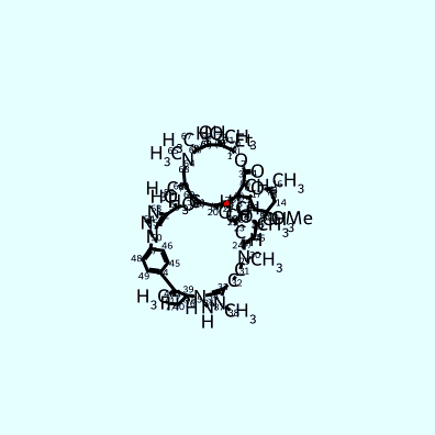 CC[C@H]1OC(=O)[C@H](C)[C@](C)(C2C[C@@](C)(OC)C[C@H](C)O2)[C@H](C)[C@H]2O[C@H]3C[C@H](C[C@@H](C)O3)N(C)CCC3=CN(NN3C)[C@H](CF)[C@H](C)c3ccc(cc3)-n3cc(nn3)C(O)O[C@]2(C)C[C@@H](C)CN(C)[C@H](C)[C@@H](O)[C@]1(C)O